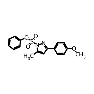 COc1ccc(-c2cc(C)n(S(=O)(=O)Oc3ccccc3)n2)cc1